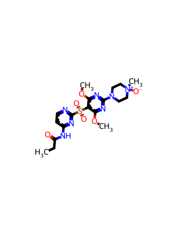 CCC(=O)Nc1ccnc(S(=O)(=O)c2c(OC)nc(N3CC[N+](C)([O-])CC3)nc2OC)n1